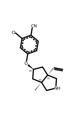 C=C[C@]12CNC[C@@]1(C)C[C@@H](Oc1ccc(C#N)c(Cl)c1)C2